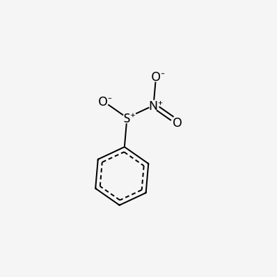 O=[N+]([O-])[S+]([O-])c1ccccc1